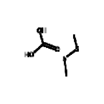 CSSC.O=C(O)O